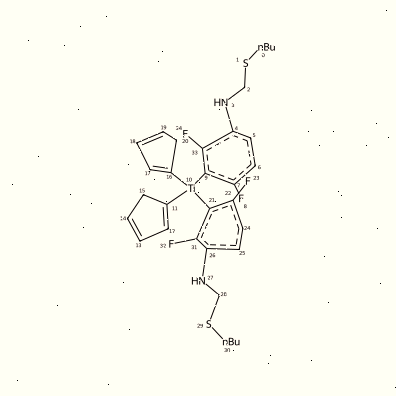 CCCCSCNc1ccc(F)[c]([Ti]([C]2=CC=CC2)([C]2=CC=CC2)[c]2c(F)ccc(NCSCCCC)c2F)c1F